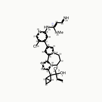 C=CC(O)(C(F)(F)F)C1(c2nnc3n2CCCn2cc(-c4cc(N/C(=C/C=N)NC)ncc4Cl)cc2-3)C2CC21